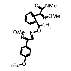 CCCCOc1ccc(C(C=NOC(C)c2ccccc2C(=NOC)C(=O)NC)=NOC)cc1